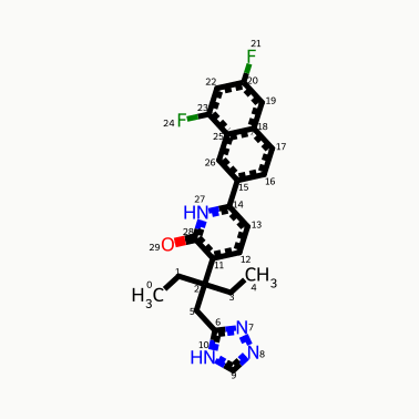 CCC(CC)(Cc1nnc[nH]1)c1ccc(-c2ccc3cc(F)cc(F)c3c2)[nH]c1=O